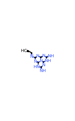 C#C/C=N/C1=NC2=NC(=N)NC3=NC(=N)NC(=N1)N23